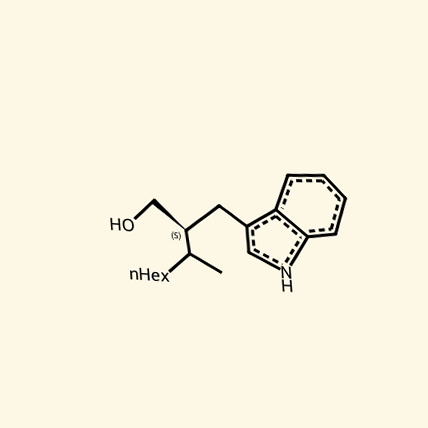 CCCCCCC(C)[C@@H](CO)Cc1c[nH]c2ccccc12